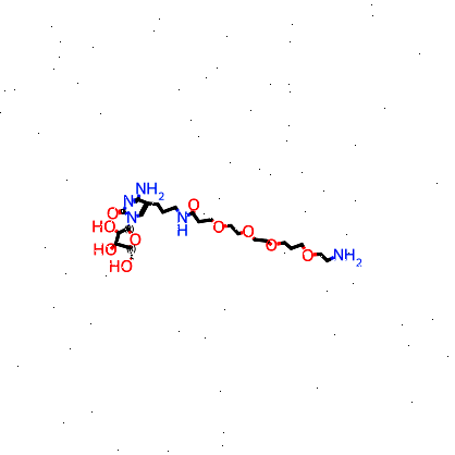 NCCOCCCOCCOCCOCCC(=O)NCCCc1cn([C@@H]2O[C@H](CO)C(O)C2O)c(=O)nc1N